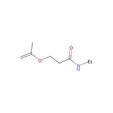 C=C(C)OCCC(=O)NCC